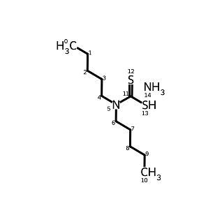 CCCCCN(CCCCC)C(=S)S.N